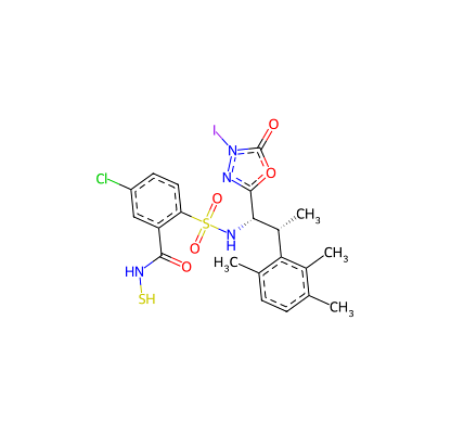 Cc1ccc(C)c([C@@H](C)[C@H](NS(=O)(=O)c2ccc(Cl)cc2C(=O)NS)c2nn(I)c(=O)o2)c1C